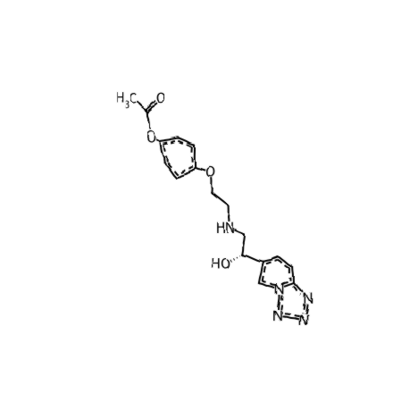 CC(=O)Oc1ccc(OCCNC[C@@H](O)c2ccc3nnnn3c2)cc1